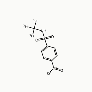 [2H]C([2H])([2H])NS(=O)(=O)c1ccc([N+](=O)[O-])cc1